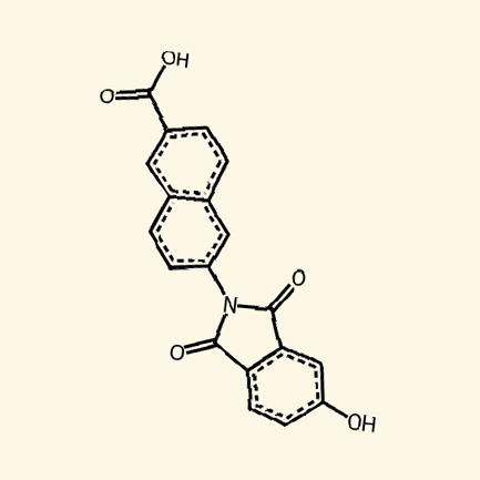 O=C(O)c1ccc2cc(N3C(=O)c4ccc(O)cc4C3=O)ccc2c1